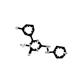 Cn1c(-c2cccc(Cl)c2)nc(NNc2ccncc2)nc1=O